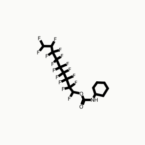 O=C(NC1CCCCC1)OC(F)C(F)(F)C(F)(F)C(F)(F)C(F)(F)C(F)(F)C(F)(F)C(F)C(F)F